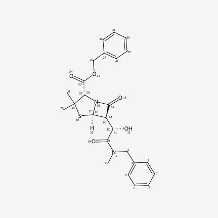 CN(Cc1ccccc1)C(=O)[C@@H](O)[C@@H]1C(=O)N2[C@@H]1SC(C)(C)[C@@H]2C(=O)OCc1ccccc1